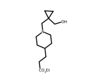 CCOC(=O)CCC1CCN(CC2(CO)CC2)CC1